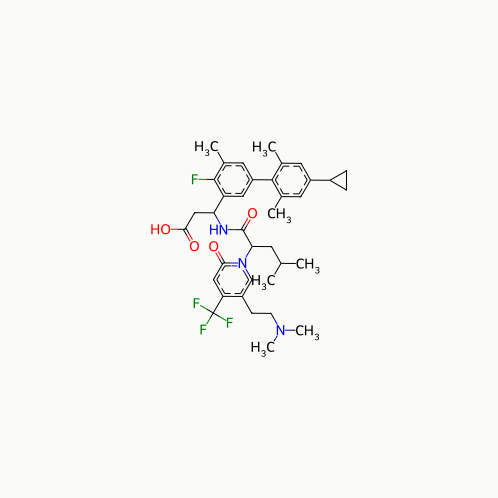 Cc1cc(-c2c(C)cc(C3CC3)cc2C)cc(C(CC(=O)O)NC(=O)C(CC(C)C)n2cc(CCN(C)C)c(C(F)(F)F)cc2=O)c1F